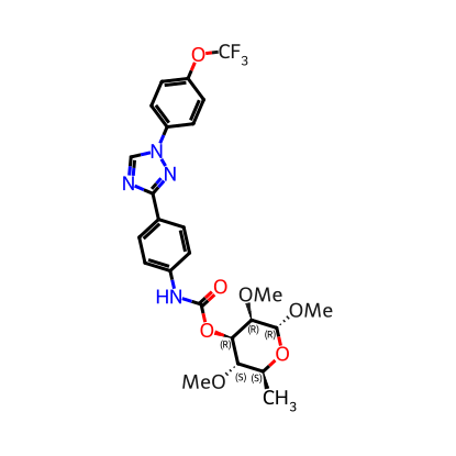 CO[C@@H]1O[C@@H](C)[C@H](OC)[C@@H](OC(=O)Nc2ccc(-c3ncn(-c4ccc(OC(F)(F)F)cc4)n3)cc2)[C@H]1OC